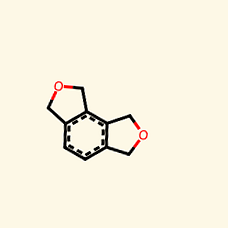 c1cc2c(c3c1COC3)COC2